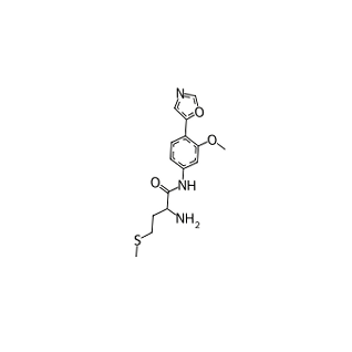 COc1cc(NC(=O)C(N)CCSC)ccc1-c1cnco1